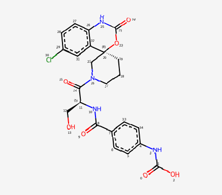 O=C(O)Nc1ccc(C(=O)N[C@@H](CO)C(=O)N2CCC[C@@]3(C2)OC(=O)Nc2ccc(Cl)cc23)cc1